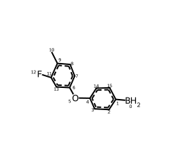 Bc1ccc(Oc2ccc(C)c(F)c2)cc1